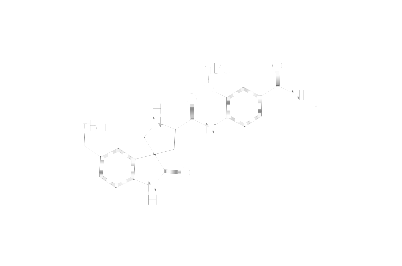 CCCCOc1cc(C(N)=O)ccc1NC(=O)C1CC2(CN1)C(=O)Nc1ccc(CC(C)(C)C)cc12